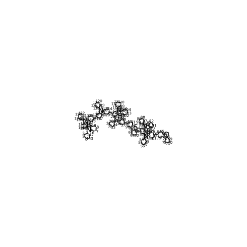 c1ccc(N2c3ccccc3B3c4cc(-c5ccc6c7cc(-c8cc9c%10c(c8)N(c8ccccc8)c8ccc(-c%11ccc%12sc%13c(-c%14cc%15c%16c(c%14)N(c%14ccccc%14)c%14ccc(-c%17ccc%18oc%19ccccc%19c%18c%17)cc%14B%16c%14ccccc%14N%15c%14ccccc%14)cccc%13c%12c%11)cc8B%10c8ccccc8N9c8ccccc8)ccc7n(-c7ccccc7)c6c5)ccc4N(c4ccccc4)c4cccc2c43)cc1